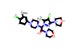 COc1cc(N2CCN(C(C(=O)N3CCOCC3)n3nc(N4CCOCC4)c(Cl)c3C)CC2)ccc1Cl